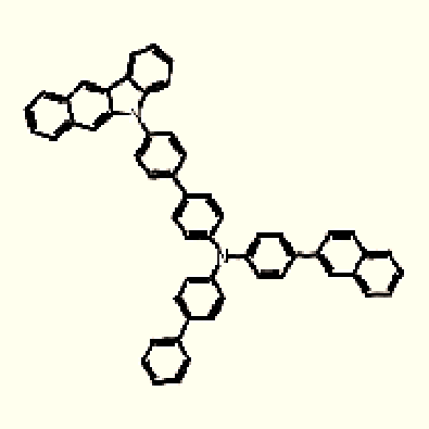 c1ccc(-c2ccc(N(c3ccc(-c4ccc(-n5c6ccccc6c6cc7ccccc7cc65)cc4)cc3)c3ccc(-c4ccc5ccccc5c4)cc3)cc2)cc1